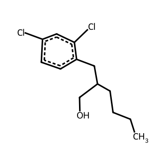 CCCCC(CO)Cc1ccc(Cl)cc1Cl